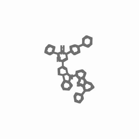 C1=CC2c3ccccc3N(c3cccc4c3sc3c(-c5ccccc5)cccc34)C2C=C1C1=CC(c2ccc(-c3ccccc3)cc2)NC(c2ccccc2)=N1